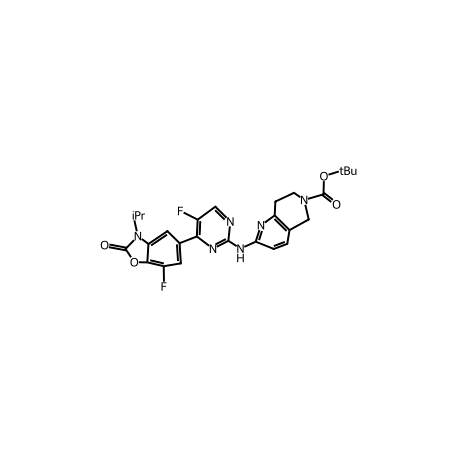 CC(C)n1c(=O)oc2c(F)cc(-c3nc(Nc4ccc5c(n4)CCN(C(=O)OC(C)(C)C)C5)ncc3F)cc21